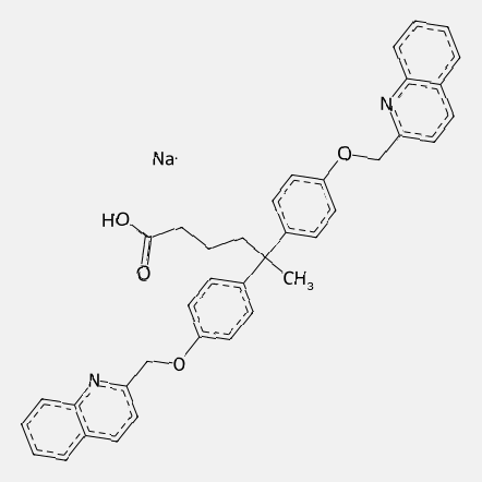 CC(CCCC(=O)O)(c1ccc(OCc2ccc3ccccc3n2)cc1)c1ccc(OCc2ccc3ccccc3n2)cc1.[Na]